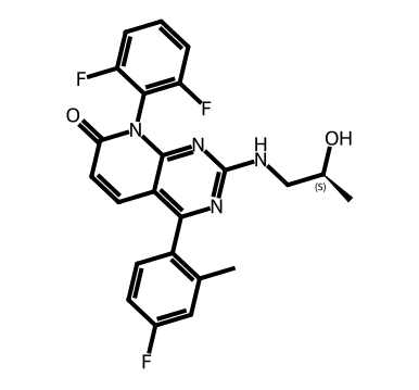 Cc1cc(F)ccc1-c1nc(NC[C@H](C)O)nc2c1ccc(=O)n2-c1c(F)cccc1F